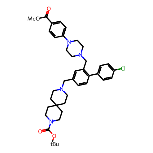 COC(=O)c1ccc(N2CCN(Cc3cc(CN4CCC5(CC4)CCN(C(=O)OC(C)(C)C)CC5)ccc3-c3ccc(Cl)cc3)CC2)cc1